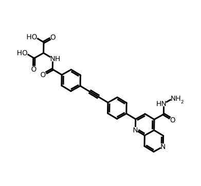 NNC(=O)c1cc(-c2ccc(C#Cc3ccc(C(=O)NC(C(=O)O)C(=O)O)cc3)cc2)nc2ccncc12